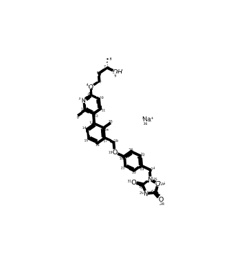 Cc1nc(OCC[C@H](C)O)ccc1-c1cccc(COc2ccc(Cn3oc(=O)[n-]c3=O)cc2)c1C.[Na+]